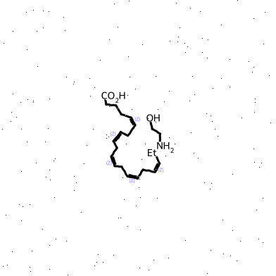 CC/C=C\C/C=C\C/C=C\C/C=C\C/C=C\CCCC(=O)O.NCCO